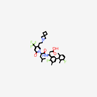 Cc1cc(-c2c(C)ccc(F)c2C)cc([C@H](CC(=O)O)NC(=O)C(CC(C)C)n2cc(CCN3CC4(CCC4)C3)c(C(F)(F)F)cc2=O)c1F